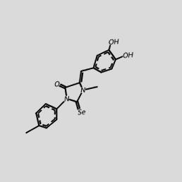 Cc1ccc(N2C(=O)C(=Cc3ccc(O)c(O)c3)N(C)C2=[Se])cc1